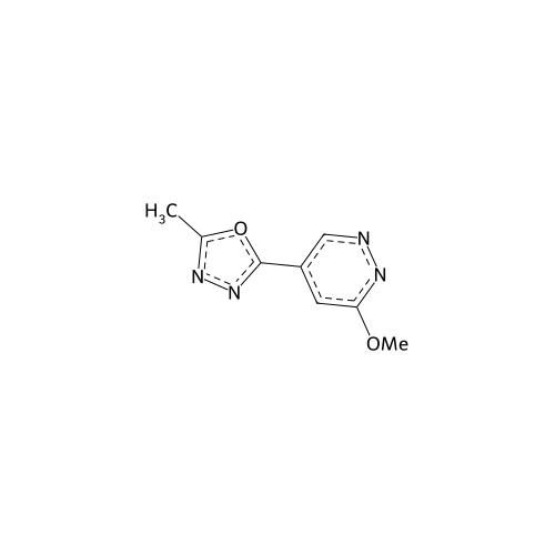 COc1cc(-c2nnc(C)o2)cnn1